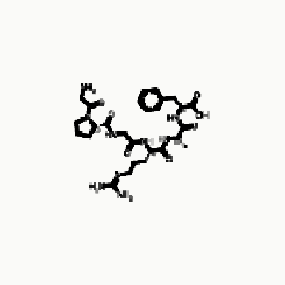 C[C@H](NC(=O)[C@H](CCCN=C(N)N)NC(=O)CNC(=O)[C@@H]1CCCN1C(=O)CN)C(=O)N[C@@H](Cc1ccccc1)C(=O)O